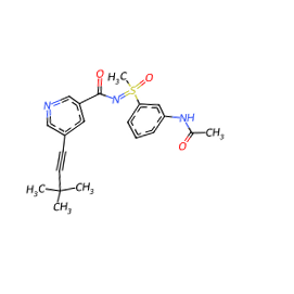 CC(=O)Nc1cccc(S(C)(=O)=NC(=O)c2cncc(C#CC(C)(C)C)c2)c1